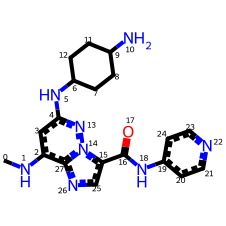 CNc1cc(NC2CCC(N)CC2)nn2c(C(=O)Nc3ccncc3)cnc12